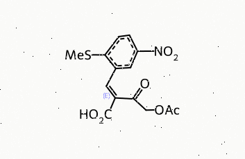 CSc1ccc([N+](=O)[O-])cc1/C=C(/C(=O)O)C(=O)COC(C)=O